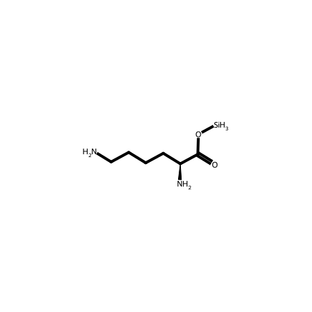 NCCCC[C@H](N)C(=O)O[SiH3]